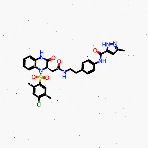 Cc1cc(C(=O)Nc2ccc(CCNC(=O)C[C@@H]3C(=O)Nc4ccccc4N3S(=O)(=O)c3cc(C)c(Cl)cc3C)cc2)[nH]n1